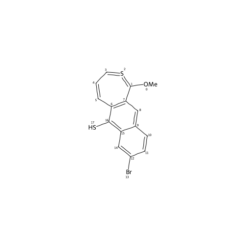 COC1=S=CC=Cc2c1cc1ccc(Br)cc1c2S